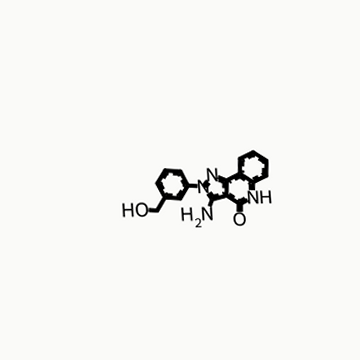 Nc1c2c(=O)[nH]c3ccccc3c2nn1-c1cccc(CO)c1